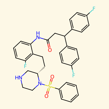 O=C(CC(c1ccc(F)cc1)c1ccc(F)cc1)Nc1cccc(F)c1CC[C@H]1CNCCN1S(=O)(=O)c1ccccc1